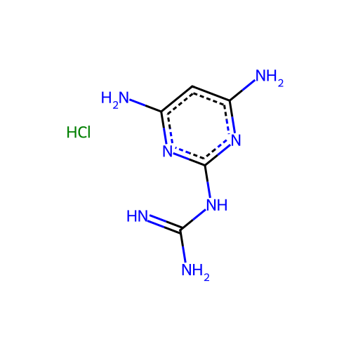 Cl.N=C(N)Nc1nc(N)cc(N)n1